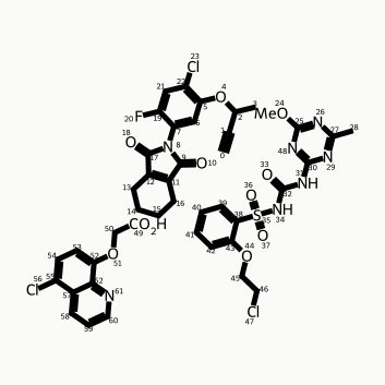 C#CC(C)Oc1cc(N2C(=O)C3=C(CCCC3)C2=O)c(F)cc1Cl.COc1nc(C)nc(NC(=O)NS(=O)(=O)c2ccccc2OCCCl)n1.O=C(O)COc1ccc(Cl)c2cccnc12